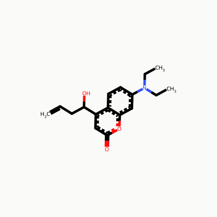 C=CCC(O)c1cc(=O)oc2cc(N(CC)CC)ccc12